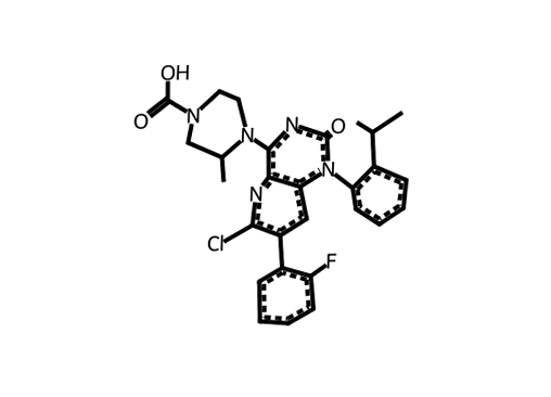 CC(C)c1ccccc1-n1c(=O)nc(N2CCN(C(=O)O)CC2C)c2nc(Cl)c(-c3ccccc3F)cc21